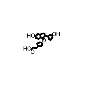 O=C(O)C=Cc1ccc(Oc2c(-c3cccc(O)c3)ccc3cc(O)ccc23)cc1